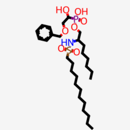 CCCCCCCCCCCCS(=O)(=O)NC(CCCCCC)COP(=O)(O)C(O)COCc1ccccc1